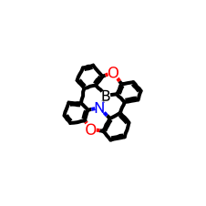 c1cc2c3c(c1)-c1cccc4c1N1B3c3c(cccc3-c3cccc(c31)O4)O2